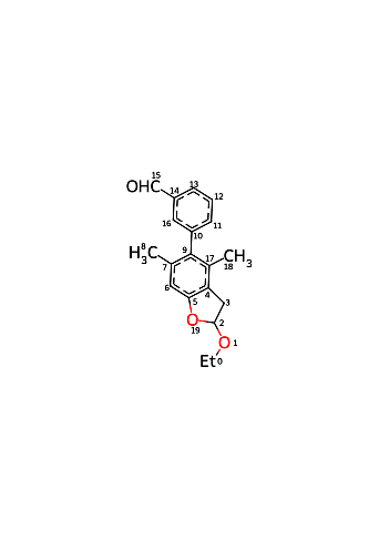 CCOC1Cc2c(cc(C)c(-c3cccc(C=O)c3)c2C)O1